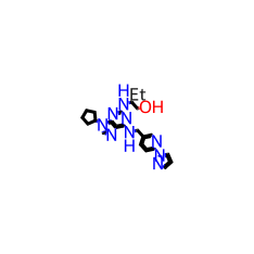 CCC(CO)Nc1nc(NCc2ccc(-n3cccn3)nc2)c2ncn(C3CCCC3)c2n1